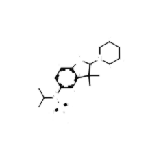 CC(C)N(c1ccc2c(c1)C(C)(C)C(N1CCCCC1)O2)S(=O)(=O)O